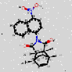 C[C@]12C(=O)N(c3ccc([N+](=O)[O-])c4ccccc34)C(=O)[C@H]1[C@H]1C=C[C@@H]2CC1